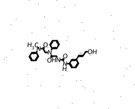 CN(C(=O)CN(C(=O)CNC(=O)Nc1cccc(/C=C/CO)c1)c1ccccc1)c1ccccc1